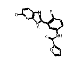 O=C(Nc1ccc(F)c(-c2nc3ccc(Cl)nc3[nH]2)c1)c1ccco1